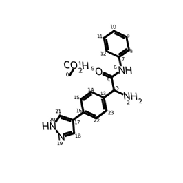 CC(=O)O.NC(C(=O)Nc1ccccc1)c1ccc(-c2cn[nH]c2)cc1